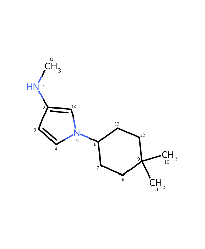 CNc1ccn(C2CCC(C)(C)CC2)c1